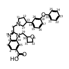 O=C(O)c1ccc2nc(CN3CCC(c4cccc(Oc5ccccc5)c4)C3)n(CC3CCO3)c2c1